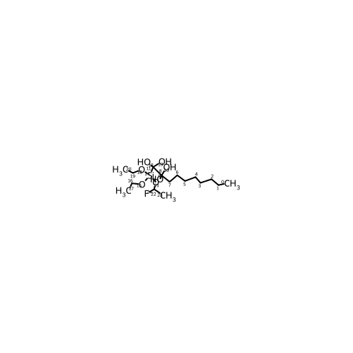 CCCCCCCCC(O)(O)C(O)(O)[Si](OCC)(OCC)OC(C)F